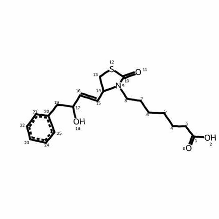 O=C(O)CCCCCCN1C(=O)SCC1C=CC(O)Cc1ccccc1